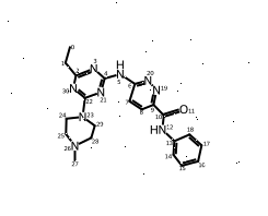 CCc1nc(Nc2ccc(C(=O)Nc3ccccc3)nn2)nc(N2CCN(C)CC2)n1